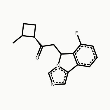 CC1CC[C@H]1C(=O)CC1c2c(F)cccc2-c2cncn21